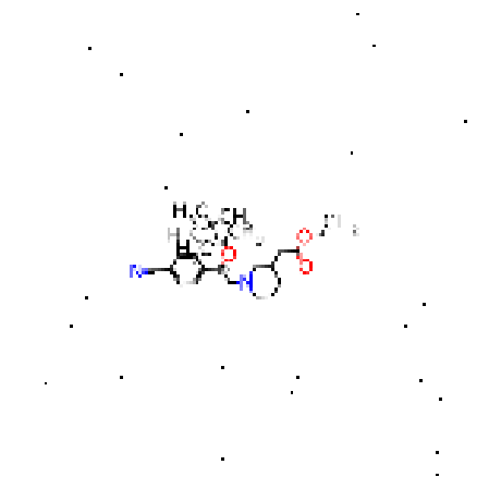 CCOC(=O)CC1CCCN(C[C@H](O[Si](C)(C)C(C)(C)C)c2ccc(C#N)cc2)C1